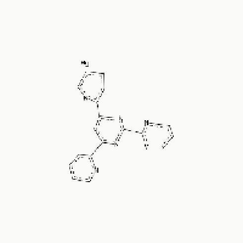 [Hg].c1ccc(-c2nc(-c3ccccn3)nc(-c3ccccn3)n2)nc1